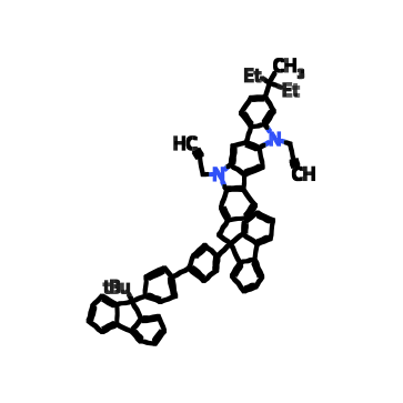 C#CCn1c2cc(CC3(c4ccc(-c5ccc(C6(C(C)(C)C)c7ccccc7-c7ccccc76)cc5)cc4)c4ccccc4-c4ccccc43)ccc2c2cc3c(cc21)c1ccc(C(C)(CC)CC)cc1n3CC#C